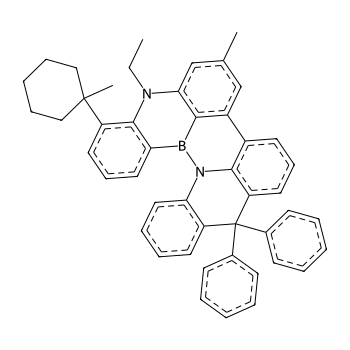 CCN1c2cc(C)cc3c2B(c2cccc(C4(C)CCCCC4)c21)N1c2ccccc2C(c2ccccc2)(c2ccccc2)c2cccc-3c21